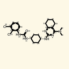 CN(C)c1nc(N[C@H]2CC[C@@H](NC(=O)Nc3cccc(Cl)c3Cl)CC2)nc2c1CCCC2